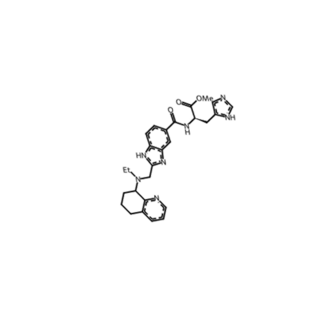 CCN(Cc1nc2cc(C(=O)N[C@H](Cc3cnc[nH]3)C(=O)OC)ccc2[nH]1)C1CCCc2cccnc21